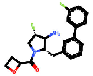 NC1[C@@H](F)CN(C(=O)C2CCO2)[C@H]1Cc1cccc(-c2cccc(F)c2)c1